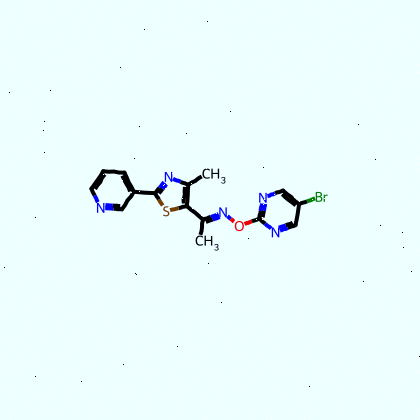 C/C(=N\Oc1ncc(Br)cn1)c1sc(-c2cccnc2)nc1C